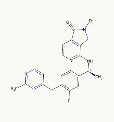 CCN1Cc2c(ccnc2N[C@@H](C)c2ccc(Cc3ccnc(C(F)(F)F)c3)c(F)c2)C1=O